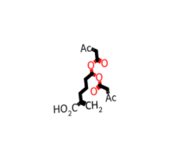 C=C(CCCC(OC(=O)CC(C)=O)OC(=O)CC(C)=O)C(=O)O